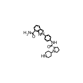 NC(=O)c1cccc2cn(-c3ccc(NC(=O)[C@@H]4CCCN4C4CCNCC4)cc3)nc12